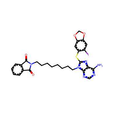 Nc1ncnc2c1nc(Sc1cc3c(cc1I)OCO3)n2CCCCCCCCN1C(=O)c2ccccc2C1=O